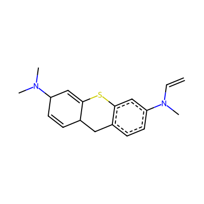 C=CN(C)c1ccc2c(c1)SC1=CC(N(C)C)C=CC1C2